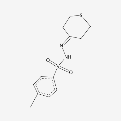 Cc1ccc(S(=O)(=O)NN=C2CCSCC2)cc1